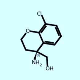 N[C@@]1(CO)CCOc2c(Cl)cccc21